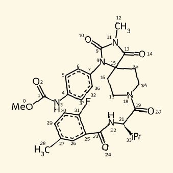 COC(=O)Nc1ccc(N2C(=O)N(C)C(=O)C23CCN(C(=O)[C@H](NC(=O)c2cc(C)ccc2F)C(C)C)CC3)cc1